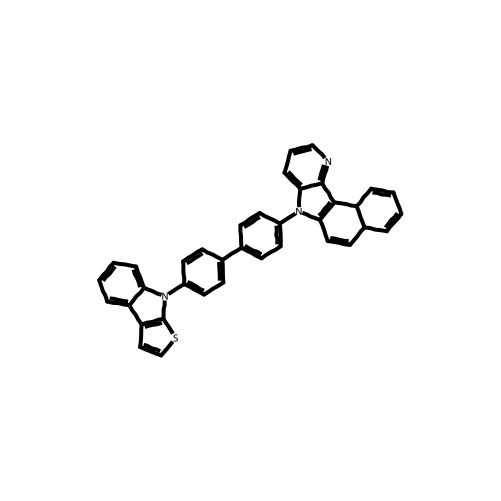 C1=CC2C=Cc3c(c4ncccc4n3-c3ccc(-c4ccc(-n5c6ccccc6c6ccsc65)cc4)cc3)C2C=C1